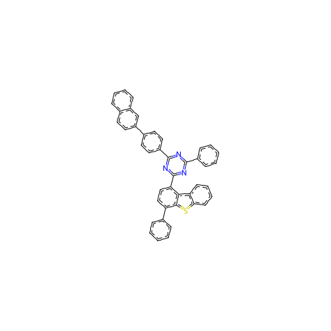 c1ccc(-c2nc(-c3ccc(-c4ccc5ccccc5c4)cc3)nc(-c3ccc(-c4ccccc4)c4sc5ccccc5c34)n2)cc1